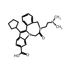 CN(C)CCN1Cc2ccccc2-c2c(C3CCCC3)c3ccc(C(=O)O)cc3n2CC1=O